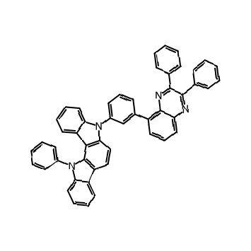 c1ccc(-c2nc3cccc(-c4cccc(-n5c6ccccc6c6c5ccc5c7ccccc7n(-c7ccccc7)c56)c4)c3nc2-c2ccccc2)cc1